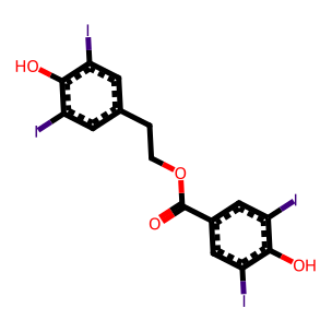 O=C(OCCc1cc(I)c(O)c(I)c1)c1cc(I)c(O)c(I)c1